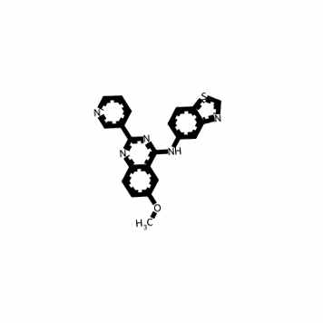 COc1ccc2nc(-c3cccnc3)nc(Nc3ccc4scnc4c3)c2c1